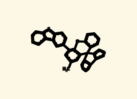 Cc1cc(-c2ccc3sc4ccccc4c3c2)c2c(c1)C1(c3ccccc3O2)c2ccccc2-c2ccccc21